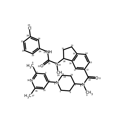 Cc1cc(N2CCC(N(C)C(=O)c3ccc4c(c3)C(N(C)C(=O)Nc3cccc(Cl)c3)CC4)CC2)cc(C)n1